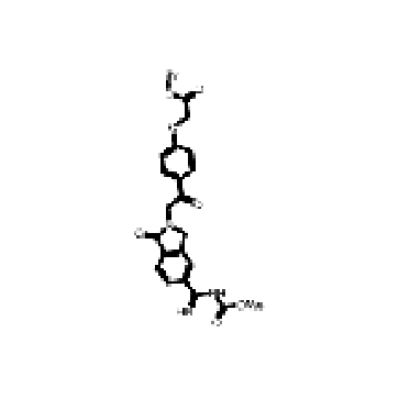 COC(=O)NC(=N)c1ccc2c(c1)CN(CC(=O)c1ccc(OCC(=O)OC(C)C)cc1)C2=O